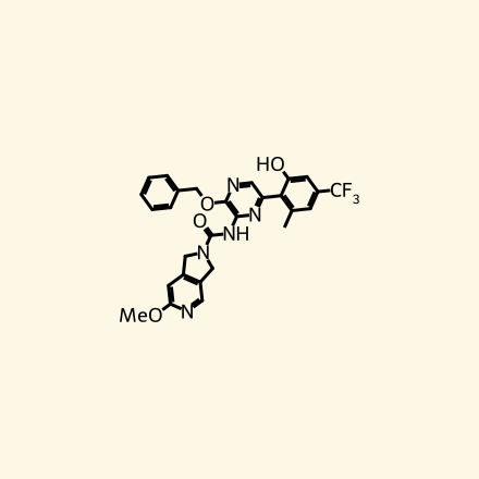 COc1cc2c(cn1)CN(C(=O)Nc1nc(-c3c(C)cc(C(F)(F)F)cc3O)cnc1OCc1ccccc1)C2